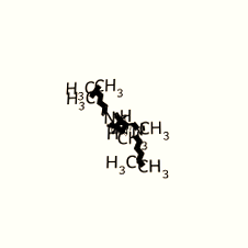 CC(C)CCCCN(C)C[C@H]1[C@@H](C)[C@@H]2CN(CCCCC(C)(C)C)C[C@H]12